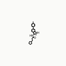 Cc1ccc(-c2ccc3c(NC(=O)CCC4CCCC4)n[nH]c3c2)cc1